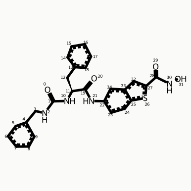 O=C(NCc1ccccc1)N[C@@H](Cc1ccccc1)C(=O)Nc1ccc2sc(C(=O)NO)cc2c1